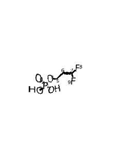 O=P(O)(O)OCC=C(F)F